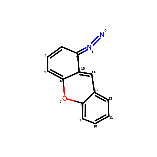 [N-]=[N+]=c1cccc2oc3ccccc3cc1-2